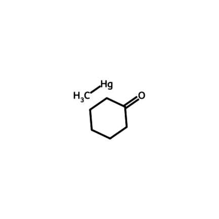 O=C1CCCCC1.[CH3][Hg]